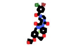 O=C(NCc1ccc(OC2COC2)cc1F)c1c2n(c(=O)n1-c1ccc(OC3CC3)cc1)CCN(C(=O)c1ccc(Br)c(Cl)c1)C2